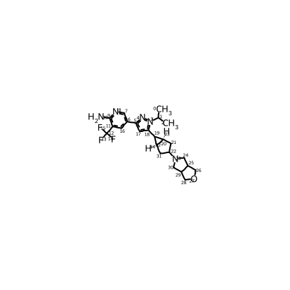 CC(C)n1nc(-c2cnc(N)c(C(F)(F)F)c2)cc1C1[C@H]2CC(N3CC4COCC4C3)C[C@@H]12